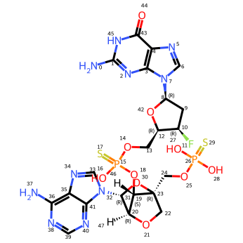 Nc1nc2c(ncn2[C@H]2C[C@@H](F)[C@@H](COP(O)(=S)O[C@H]3[C@H]4OC[C@]3(COP(O)(O)=S)O[C@H]4n3cnc4c(N)ncnc43)O2)c(=O)[nH]1